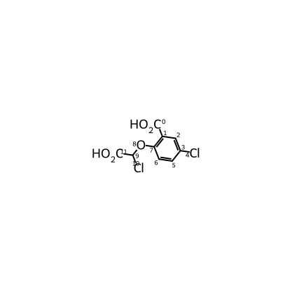 O=C(O)c1cc(Cl)ccc1OC(Cl)C(=O)O